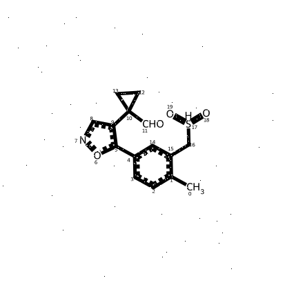 Cc1ccc(-c2oncc2C2(C=O)CC2)cc1C[SH](=O)=O